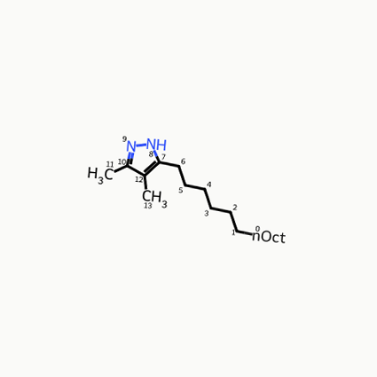 CCCCCCCCCCCCCCc1[nH]nc(C)c1C